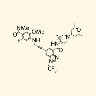 CNC(=O)c1cc(OC)c(NCC#Cc2cc(C(=O)N[C@H]3CCN(C4CC(C)OC(C)C4)C[C@@H]3C)c3ncn(CC(F)(F)F)c3c2)cc1F